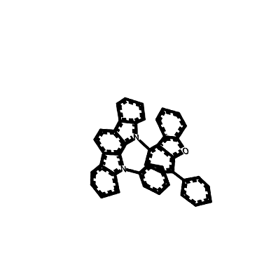 c1ccc(-c2ccc(-n3c4ccccc4c4ccc5c6ccccc6n(-c6ccccc6)c5c43)c3c2oc2ccccc23)cc1